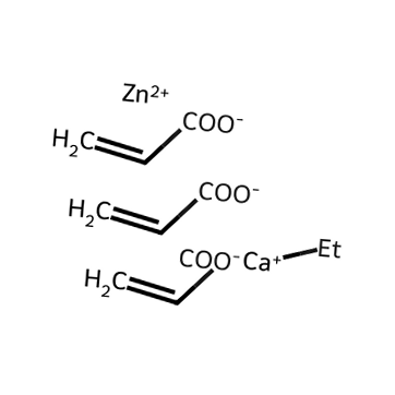 C=CC(=O)[O-].C=CC(=O)[O-].C=CC(=O)[O-].C[CH2][Ca+].[Zn+2]